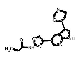 C=CC(=O)Nc1nc(-c2cnc3[nH]cc(-c4ccncn4)c3c2)co1